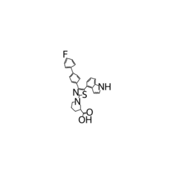 O=C(O)C1CCCN(c2nc(-c3ccc(-c4ccc(F)cc4)cc3)c(-c3cccc4[nH]ccc34)s2)C1